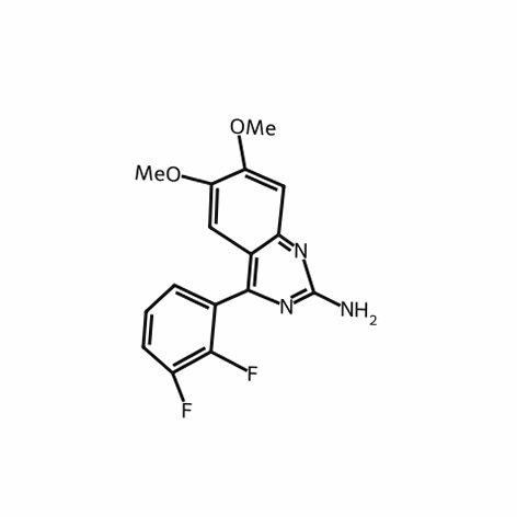 COc1cc2nc(N)nc(-c3cccc(F)c3F)c2cc1OC